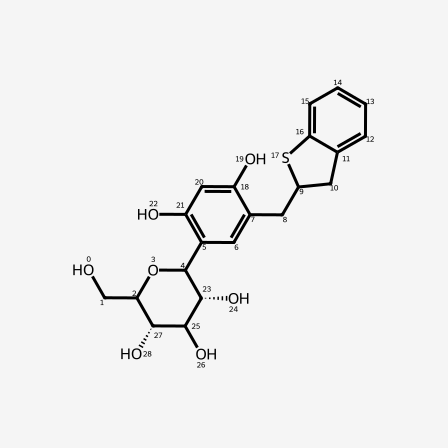 OCC1OC(c2cc(CC3Cc4ccccc4S3)c(O)cc2O)[C@H](O)C(O)[C@@H]1O